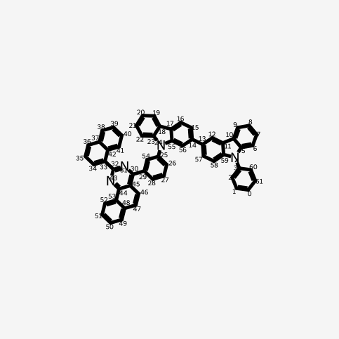 c1ccc(-n2c3ccccc3c3cc(-c4ccc5c6ccccc6n(-c6cccc(-c7nc(-c8cccc9ccccc89)nc8c7ccc7ccccc78)c6)c5c4)ccc32)cc1